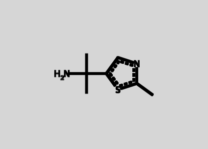 Cc1ncc(C(C)(C)N)s1